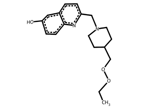 CCOOCC1CCN(Cc2ccc3cc(O)ccc3n2)CC1